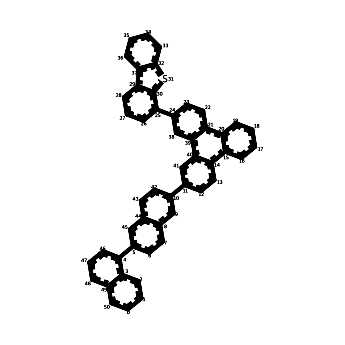 c1ccc2c(-c3ccc4cc(-c5ccc6c7ccccc7c7ccc(-c8cccc9c8sc8ccccc89)cc7c6c5)ccc4c3)cccc2c1